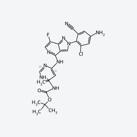 C=C(/C=C(\N=C/N)Nc1ncc(F)c2nn(-c3c(Cl)cc(N)cc3C#N)cc12)NC(=O)OC(C)(C)C